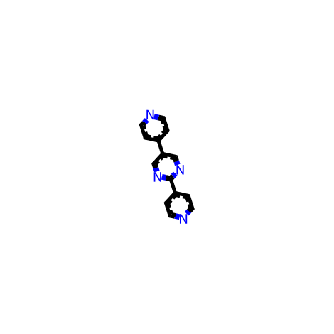 c1cc(-c2cnc(-c3ccncc3)nc2)ccn1